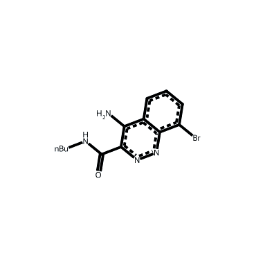 CCCCNC(=O)c1nnc2c(Br)cccc2c1N